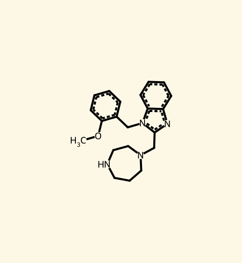 COc1ccccc1Cn1c(CN2CCCNCC2)nc2ccccc21